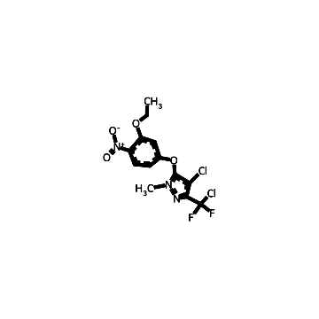 CCOc1cc(Oc2c(Cl)c(C(F)(F)Cl)nn2C)ccc1[N+](=O)[O-]